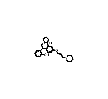 Oc1ccccc1[C@H]1CN2CCC[C@H]2c2cc(OCCCN3CCCCC3)ccc21